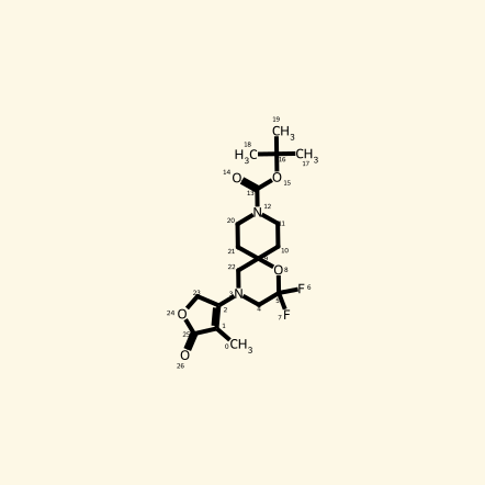 CC1=C(N2CC(F)(F)OC3(CCN(C(=O)OC(C)(C)C)CC3)C2)COC1=O